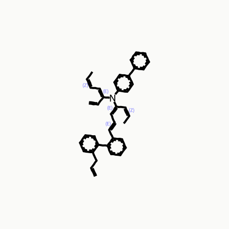 C=CCc1ccccc1-c1ccccc1/C=C/C=C(\C=C/C)N(/C(C=C)=C/C=C\C)c1ccc(-c2ccccc2)cc1